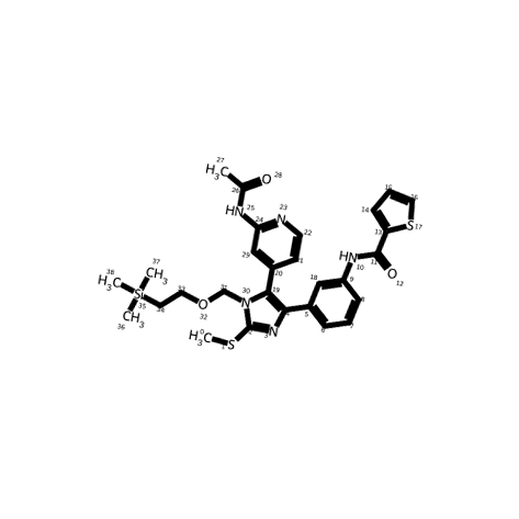 CSc1nc(-c2cccc(NC(=O)c3cccs3)c2)c(-c2ccnc(NC(C)=O)c2)n1COCC[Si](C)(C)C